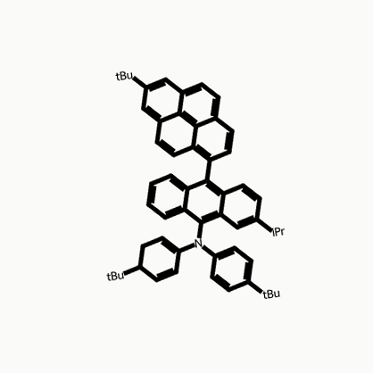 CC(C)c1ccc2c(-c3ccc4ccc5cc(C(C)(C)C)cc6ccc3c4c56)c3ccccc3c(N(C3=CCC(C(C)(C)C)C=C3)c3ccc(C(C)(C)C)cc3)c2c1